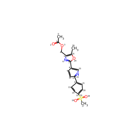 CC(=O)OCc1nc(-c2ccc(-c3ccc(S(C)(=O)=O)cc3)nc2)oc1C